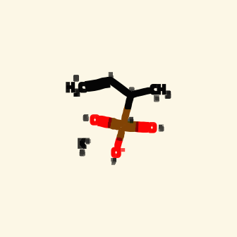 C=CC(C)S(=O)(=O)[O-].[K+]